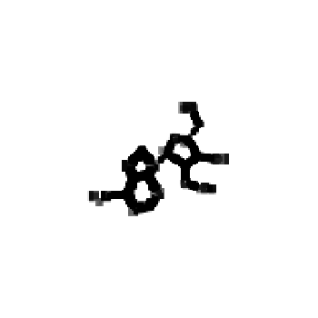 CCCCOC1C(O)[C@@H](CO)O[C@H]1n1cnc2c(N)ncnc21